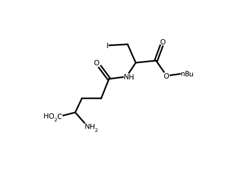 CCCCOC(=O)C(CI)NC(=O)CCC(N)C(=O)O